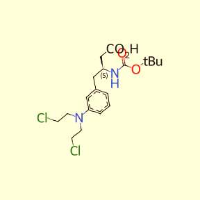 CC(C)(C)OC(=O)N[C@H](CC(=O)O)Cc1cccc(N(CCCl)CCCl)c1